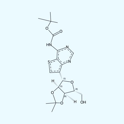 CC(C)(C)OC(=O)Nc1ncnc2c([C@@H]3O[C@H](CO)[C@H]4OC(C)(C)O[C@H]43)csc12